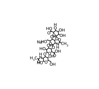 CC(=O)NC1C(O)OC(CO)C(O)C1OC1OC(C(=O)O)C(OC2OC(CO)C(O)C(OC3OC(C(=O)O)C(O)C(O)C3O)C2NC(C)=O)C(O)C1O.[Na+]